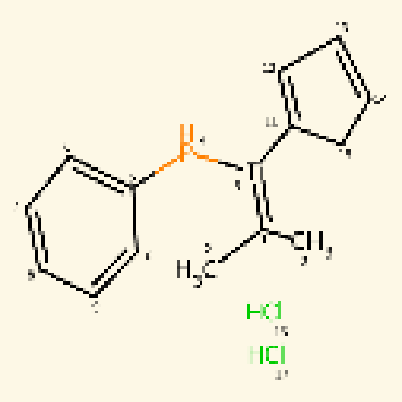 C[C](C)=[Ti]([PH]c1ccccc1)[C]1=CC=CC1.Cl.Cl